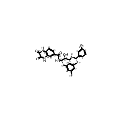 CCc1cccc(CNC[C@H](O)[C@H](Cc2cc(F)cc(F)c2)NC(=O)c2ccc3[nH]c(=O)c(=O)[nH]c3c2)c1